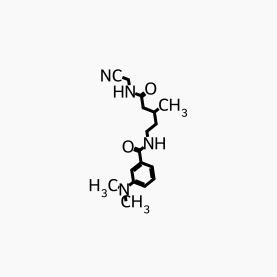 CC(CCNC(=O)c1cccc(N(C)C)c1)CC(=O)NCC#N